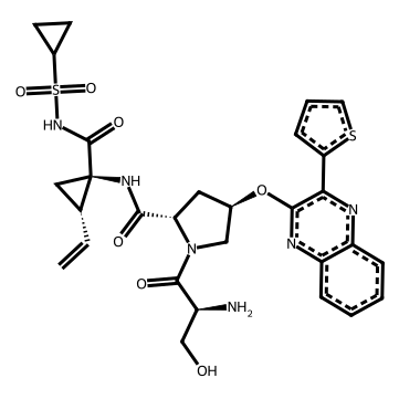 C=C[C@@H]1C[C@]1(NC(=O)[C@@H]1C[C@@H](Oc2nc3ccccc3nc2-c2cccs2)CN1C(=O)[C@@H](N)CO)C(=O)NS(=O)(=O)C1CC1